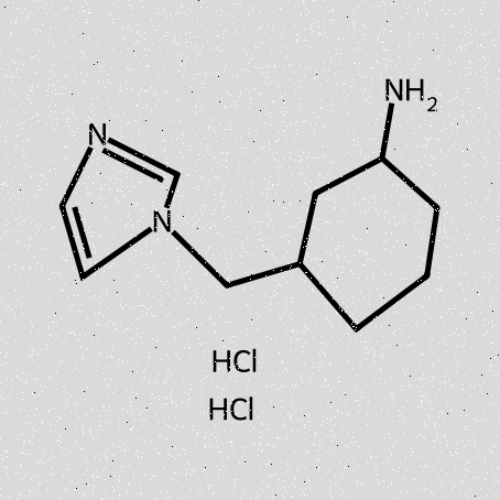 Cl.Cl.NC1CCCC(Cn2ccnc2)C1